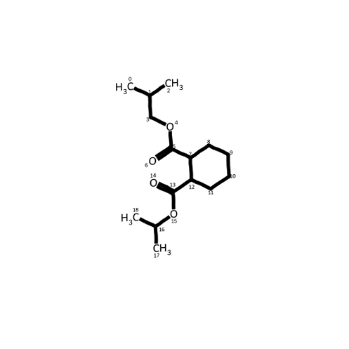 CC(C)COC(=O)C1CCCCC1C(=O)OC(C)C